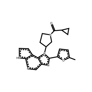 Cc1ccc(-c2nc3cnc4[nH]ccc4c3n2C2CCN(C(=O)C3CC3)C2)o1